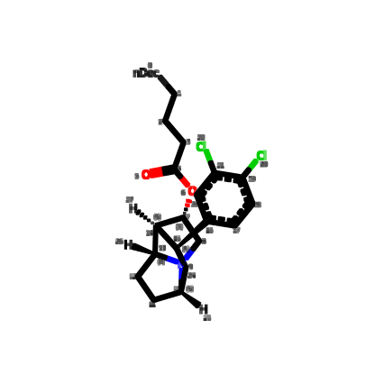 CCCCCCCCCCCCCC(=O)O[C@@H]1CN2[C@H]3CC[C@@H]2[C@@H]1[C@@H](c1ccc(Cl)c(Cl)c1)C3